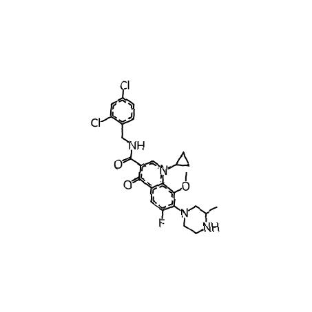 COc1c(N2CCNC(C)C2)c(F)cc2c(=O)c(C(=O)NCc3ccc(Cl)cc3Cl)cn(C3CC3)c12